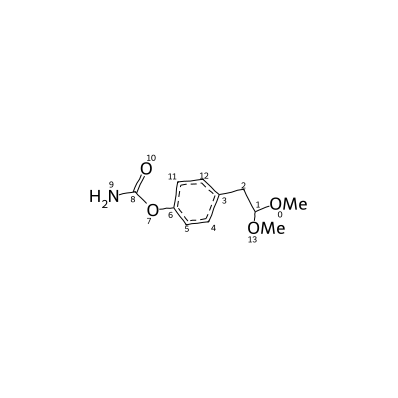 COC(Cc1ccc(OC(N)=O)cc1)OC